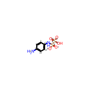 Nc1ccc(NS(=O)(=O)S(=O)(=O)O)cc1